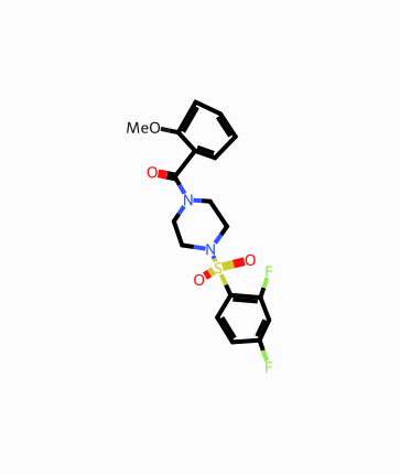 COc1ccccc1C(=O)N1CCN(S(=O)(=O)c2ccc(F)cc2F)CC1